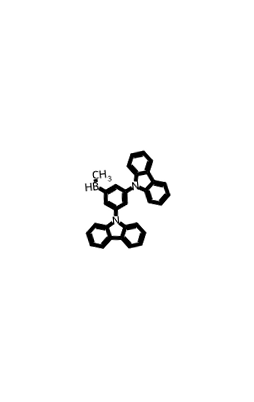 CBc1cc(-n2c3ccccc3c3ccccc32)cc(-n2c3ccccc3c3ccccc32)c1